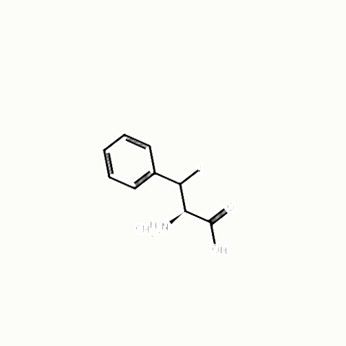 C.N[C@H](C(=O)O)C(I)c1ccccc1